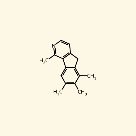 Cc1cc2c(c(C)c1C)Cc1ccnc(C)c1-2